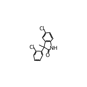 CC1(c2ccccc2Cl)C(=O)Nc2ccc(Cl)cc21